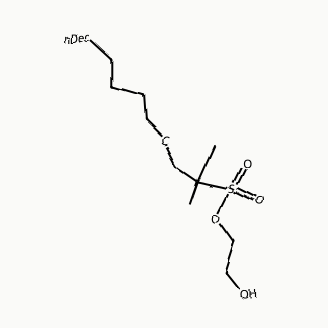 CCCCCCCCCCCCCCCCC(C)(C)S(=O)(=O)OCCO